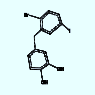 Oc1ccc(Cc2cc(I)ccc2Br)cc1O